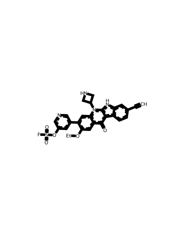 C#Cc1ccc2c(c1)[nH]c1c2c(=O)c2cc(OCC)c(-c3cncc(OS(=O)(=O)F)c3)cc2n1C1CNC1